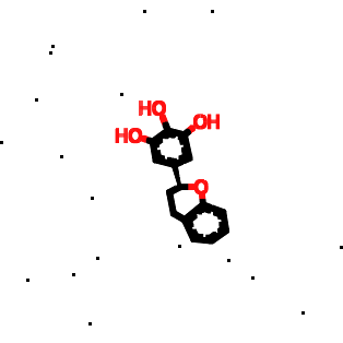 Oc1cc([C@@H]2CCc3ccccc3O2)cc(O)c1O